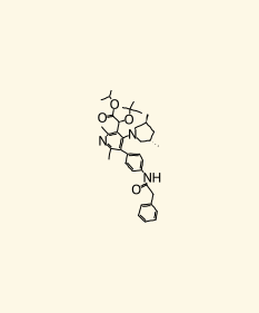 Cc1nc(C)c([C@H](OC(C)(C)C)C(=O)OC(C)C)c(N2C[C@@H](C)C[C@H](C)C2)c1-c1ccc(NC(=O)Cc2ccccc2)cc1